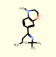 CCCC(=NC(C)(C)C)c1ccc2c(c1)OCCN2C